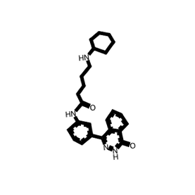 O=C(CCCCNC1CCCCC1)Nc1cccc(-c2n[nH]c(=O)c3ccccc23)c1